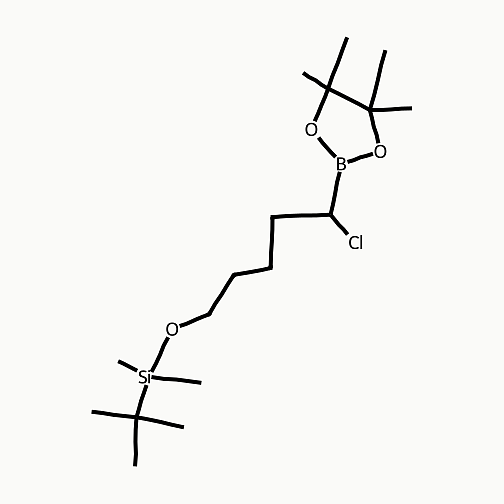 CC1(C)OB(C(Cl)CCCCO[Si](C)(C)C(C)(C)C)OC1(C)C